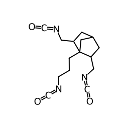 O=C=NCCCC12CC(CC1CN=C=O)CC2CN=C=O